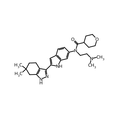 CN(C)CCN(C(=O)C1CCOCC1)c1ccc2cc(-c3n[nH]c4c3CCC(C)(C)C4)[nH]c2c1